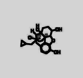 [O-][N+]1(CC2CC2)CC[C@]23c4c5ccc(O)c4OC2C(O)CC[C@@]3(O)[C@H]1C5